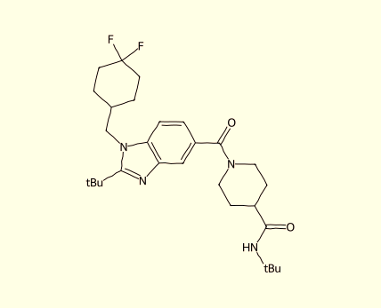 CC(C)(C)NC(=O)C1CCN(C(=O)c2ccc3c(c2)nc(C(C)(C)C)n3CC2CCC(F)(F)CC2)CC1